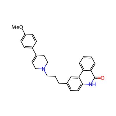 COc1ccc(C2=CCN(CCCc3ccc4[nH]c(=O)c5ccccc5c4c3)CC2)cc1